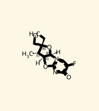 CC[C@@]1(CCl)O[C@@H]2[C@@H](Oc3nc(=O)c(F)cn32)[C@@H]1C